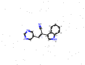 N#C/C(=C\c1cncnc1)c1c[nH]c2ccccc12